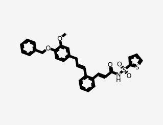 COc1cc(CC=Cc2ccccc2C=CC(=O)NS(=O)(=O)c2cccs2)ccc1OCc1ccccc1